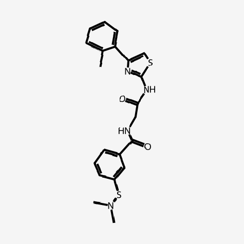 Cc1ccccc1-c1csc(NC(=O)CNC(=O)c2cccc(SN(C)C)c2)n1